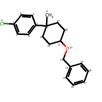 CC1(c2ccc(Cl)cc2)CCC(OCc2ccccc2)CC1